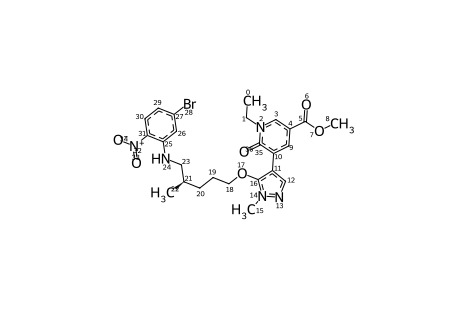 CCn1cc(C(=O)OC)cc(-c2cnn(C)c2OCCC[C@@H](C)CNc2cc(Br)ccc2[N+](=O)[O-])c1=O